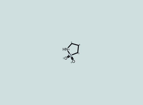 O=S1(=O)[CH]CCN1